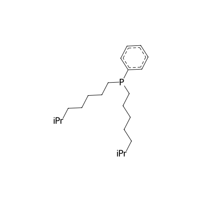 CC(C)CCCCCP(CCCCCC(C)C)c1ccccc1